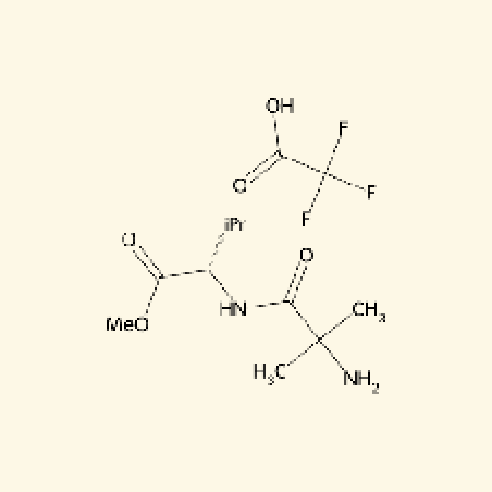 COC(=O)[C@@H](NC(=O)C(C)(C)N)C(C)C.O=C(O)C(F)(F)F